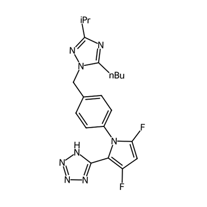 CCCCc1nc(C(C)C)nn1Cc1ccc(-n2c(F)cc(F)c2-c2nnn[nH]2)cc1